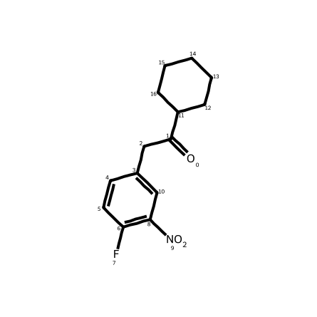 O=C(Cc1ccc(F)c([N+](=O)[O-])c1)C1CCCCC1